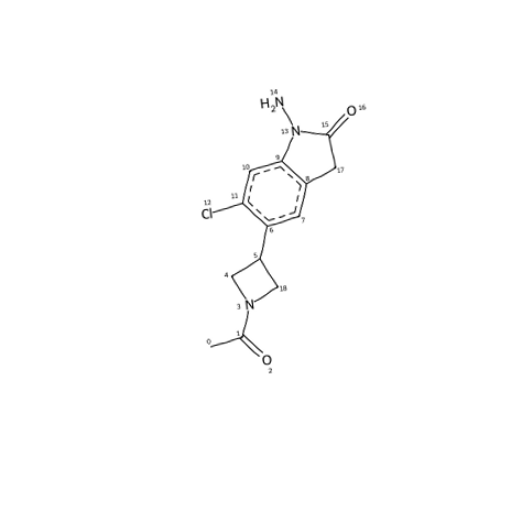 CC(=O)N1CC(c2cc3c(cc2Cl)N(N)C(=O)C3)C1